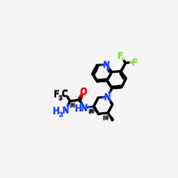 C[C@H]1C[C@@H](NC(=O)[C@@H](N)C(F)(F)F)CN(c2ccc(C(F)F)c3ncccc23)C1